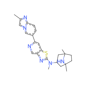 Cc1cn2cc(-c3cc4sc(N(C)C5CC6(C)CCC(C)(C5)N6)nc4cn3)ccc2n1